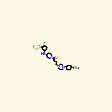 CC(C)(C)c1ccc(N2CCCN(CCCC(=O)N3CCC(Nc4ccc(Cl)c(SC(F)(F)F)c4)CC3)CC2)cc1